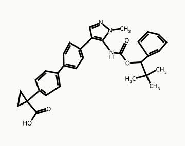 Cn1ncc(-c2ccc(-c3ccc(C4(C(=O)O)CC4)cc3)cc2)c1NC(=O)OC(c1ccccc1)C(C)(C)C